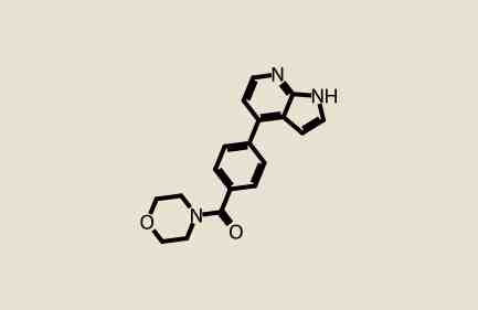 O=C(c1ccc(-c2ccnc3[nH]ccc23)cc1)N1CCOCC1